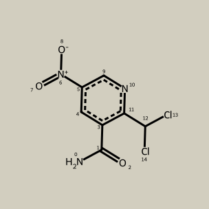 NC(=O)c1cc([N+](=O)[O-])cnc1C(Cl)Cl